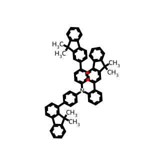 CC1(C)c2ccccc2-c2ccc(-c3ccc(N(c4ccc(-c5cccc6c5C(C)(C)c5ccccc5-6)cc4)c4ccccc4-c4ccc5c(c4)C(C)(C)c4ccccc4-5)cc3)cc21